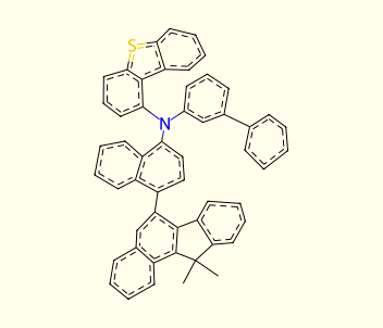 CC1(C)c2ccccc2-c2c(-c3ccc(N(c4cccc(-c5ccccc5)c4)c4cccc5sc6ccccc6c45)c4ccccc34)cc3ccccc3c21